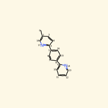 Cc1ccc(-c2ccc(-c3ccccn3)cc2)nc1